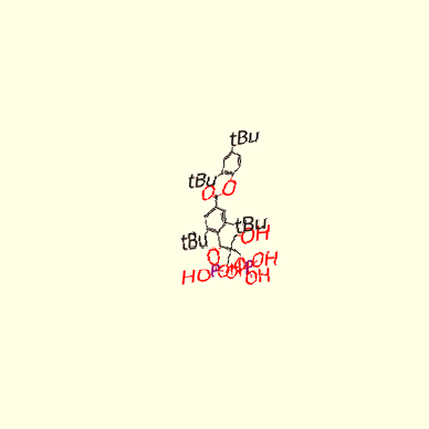 CC(C)(C)c1ccc(OC(=O)c2cc(C(C)(C)C)c(C(OP(O)O)C(CO)(CO)COP(O)O)c(C(C)(C)C)c2)c(C(C)(C)C)c1